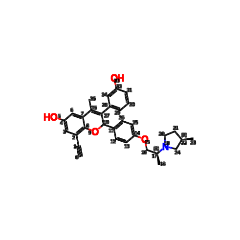 C#Cc1cc(O)cc2c1OC(c1ccc(OC[C@H](C)N3CC[C@@H](C)C3)cc1)C(c1cccc(O)c1)=C2C